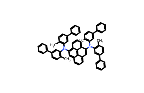 Cc1ccc(-c2ccccc2)cc1N(c1cc(-c2ccccc2)ccc1C)c1cc2cccc3cc(N(c4cc(-c5ccccc5)ccc4C)c4cc(-c5ccccc5)ccc4C)c4cccc1c4c23